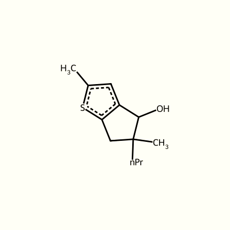 CCCC1(C)Cc2sc(C)cc2C1O